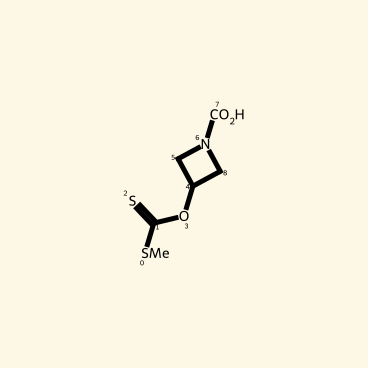 CSC(=S)OC1CN(C(=O)O)C1